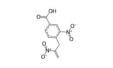 C=C(Cc1ccc(C(=O)O)cc1[N+](=O)[O-])[N+](=O)[O-]